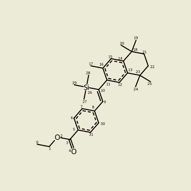 CCOC(=O)c1ccc(C=C(c2cc3c(cc2C)C(C)(C)CCC3(C)C)[Si](C)(C)C)cc1